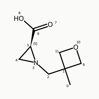 CC1(CN2C[C@H]2C(=O)O)COC1